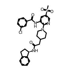 CS(=O)(=O)c1cnc(N2CCC(CC(=O)N[C@@H]3CCc4ccccc43)CC2)c(NC(=O)c2cccc(Cl)c2)c1